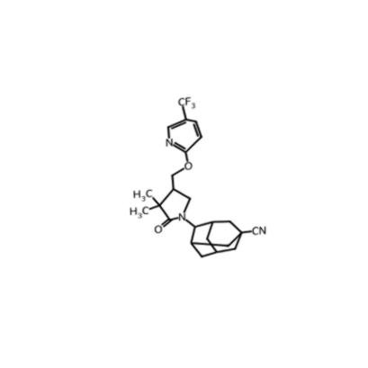 CC1(C)C(=O)N(C2C3CC4CC2CC(C#N)(C4)C3)CC1COc1ccc(C(F)(F)F)cn1